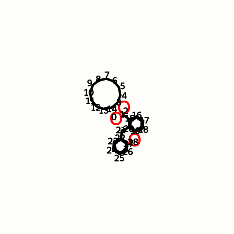 O=C(OC1CCCCCCCCCCC1)c1cccc2c1Cc1ccccc1O2